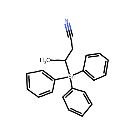 C[CH](CC#N)[Sn]([c]1ccccc1)([c]1ccccc1)[c]1ccccc1